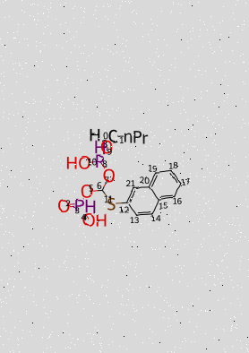 CCCC.O=[PH](O)OC(O[PH](=O)O)Sc1ccc2ccccc2c1